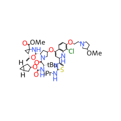 C=C[C@@H]1CC1(NC(=O)[C@@H]1C[C@@H](OC2=CC(c3csc(NC(C)C)n3)Nc3c2ccc(OCCN2CC[C@@H](OC)C2)c3Cl)CN1C(=O)[C@@H](NC(=O)O[C@@H]1C[C@@H]2C[C@@H]2C1)C(C)(C)C)C(=O)OC